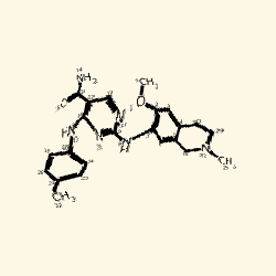 COc1cc2c(cc1Nc1ncc(C(N)=O)c(Nc3ccc(C)cc3)n1)CN(C)CC2